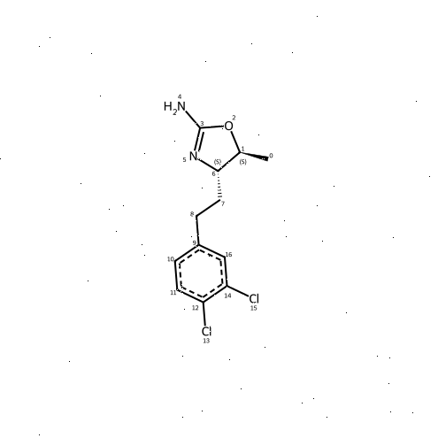 C[C@@H]1OC(N)=N[C@H]1CCc1ccc(Cl)c(Cl)c1